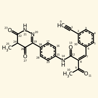 C#Cc1cccc(C=C(C(C)=O)C(=O)Nc2ccc(C3=NNC(=O)C(C)C3=O)cc2)c1